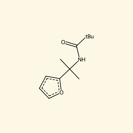 CC(C)(C)C(=O)NC(C)(C)c1ccco1